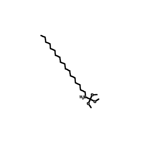 CCCCCCCCCCCCCCCCCC[SiH2]C(OC)(OC)OC